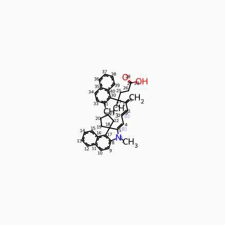 C=C(/C=C/C=C1/N(C)c2ccc3ccccc3c2C12CCCC2)C(C)(CCC(=O)O)c1c(C)ccc2ccccc12